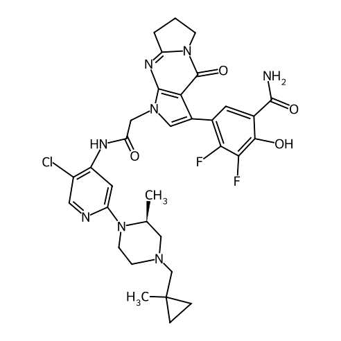 C[C@H]1CN(CC2(C)CC2)CCN1c1cc(NC(=O)Cn2cc(-c3cc(C(N)=O)c(O)c(F)c3F)c3c(=O)n4c(nc32)CCC4)c(Cl)cn1